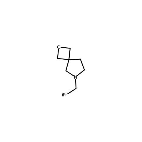 CC(C)CN1CCC2(COC2)C1